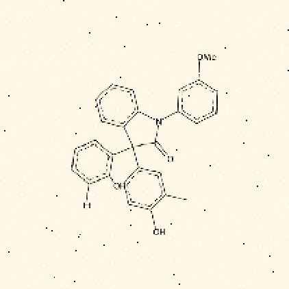 CCc1cccc(C2(c3ccc(O)c(C)c3)C(=O)N(c3cccc(OC)c3)c3ccccc32)c1O